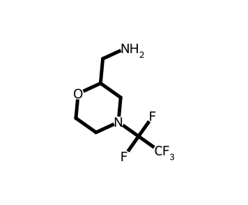 NCC1CN(C(F)(F)C(F)(F)F)CCO1